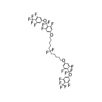 Fc1cc(OC(F)(F)c2c(F)cc(OCCCCCC(F)(F)CCCCCOc3cc(F)c(C(F)(F)Oc4cc(F)c(C(F)(F)F)c(F)c4)c(F)c3)cc2F)cc(F)c1C(F)(F)F